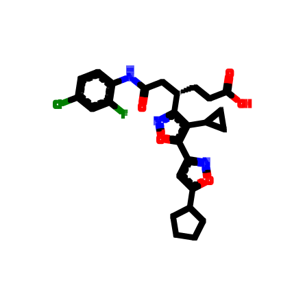 O=C(O)CC[C@@H](CC(=O)Nc1ccc(Cl)cc1F)c1noc(-c2cc(C3CCCC3)on2)c1C1CC1